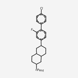 CCCCCC1CCC2CC(c3ccc(-c4ccc(Cl)cc4)c(F)c3)CCC2C1